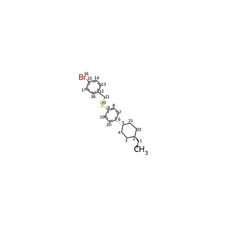 CC[C@H]1CC[C@H](c2ccc(SCc3ccc(Br)cc3)cc2)CC1